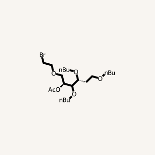 CCCCOCC[C@@H](OCCCC)C(OCCCC)[C@H](COCCBr)OC(C)=O